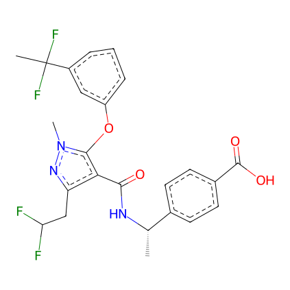 C[C@H](NC(=O)c1c(CC(F)F)nn(C)c1Oc1cccc(C(C)(F)F)c1)c1ccc(C(=O)O)cc1